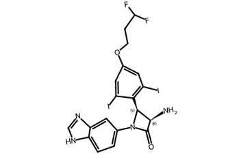 N[C@H]1C(=O)N(c2ccc3[nH]cnc3c2)[C@H]1c1c(I)cc(OCCC(F)F)cc1I